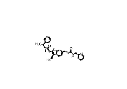 C#Cc1c(NC(=O)CC(C)c2ccccc2)sc2c1CCC(COC(=O)NCc1ccccn1)C2